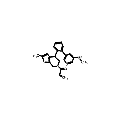 C=CC(=O)N1Cc2sc(C)cc2C(c2ccccc2-c2cncc(BC)c2)C1